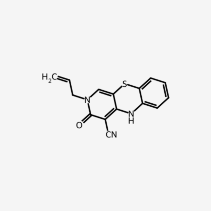 C=CCn1cc2c(c(C#N)c1=O)Nc1ccccc1S2